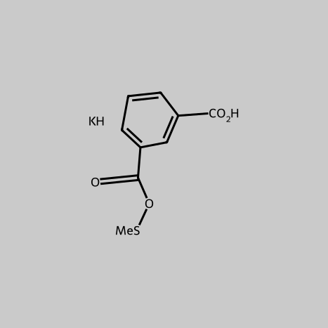 CSOC(=O)c1cccc(C(=O)O)c1.[KH]